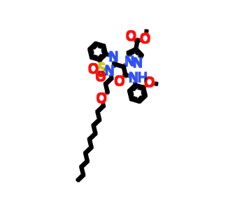 CCCCCCCCCCCCOCCCN1C(C(C(=O)Nc2ccccc2OC)n2cc(C(=O)OC)cn2)=Nc2ccccc2S1(=O)=O